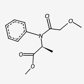 COCC(=O)N(c1ccccc1)[C@@H](C)C(=O)OC